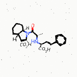 C[C@H](N[C@@H](CCc1ccccc1)C(=O)O)C(=O)N1[C@@H]2CCCC[C@H]2C[C@H]1C(=O)O